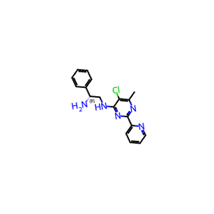 Cc1nc(-c2ccccn2)nc(NC[C@H](N)c2ccccc2)c1Cl